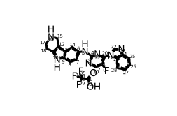 Fc1cnc(Nc2ccc3[nH]c4c(c3c2)CNCC4)nc1-n1cnc2ccccc21.O=C(O)C(F)(F)F